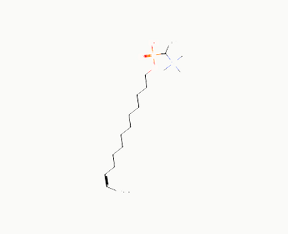 CCCCCCCCC/C=C\CCCCCCCCCCOP(=O)(O)C(CCC)[N+](C)(C)C